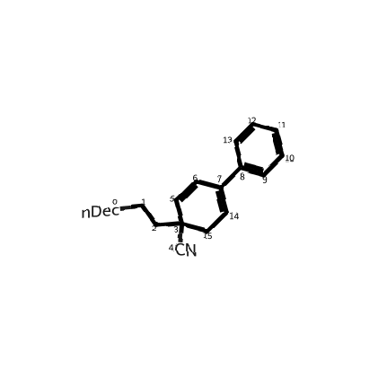 CCCCCCCCCCCCC1(C#N)C=CC(c2ccccc2)=CC1